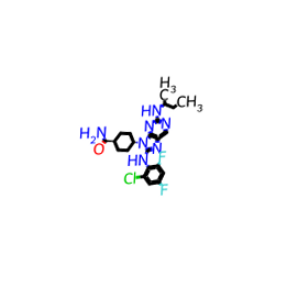 CCC(C)Nc1ncc2nc(Nc3c(F)cc(F)cc3Cl)n([C@H]3CC[C@H](C(N)=O)CC3)c2n1